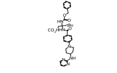 CC(C)(C)C(CC(=O)O)(NC(=O)OCc1ccccc1)NC(=O)c1ccc(N2CCC(Nc3ncccn3)CC2)cc1